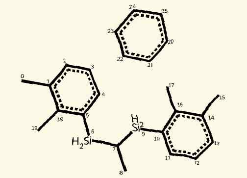 Cc1cccc([SiH2]C(C)[SiH2]c2cccc(C)c2C)c1C.c1ccccc1